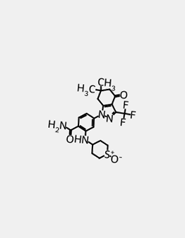 CC1(C)CC(=O)c2c(C(F)(F)F)nn(-c3ccc(C(N)=O)c(NC4CC[S+]([O-])CC4)c3)c2C1